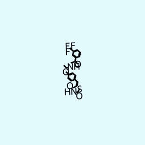 COC(CNC(C)Oc1ccc(/C=C2/SC(=O)NC2=O)cc1)c1cccc(C(F)(F)F)c1